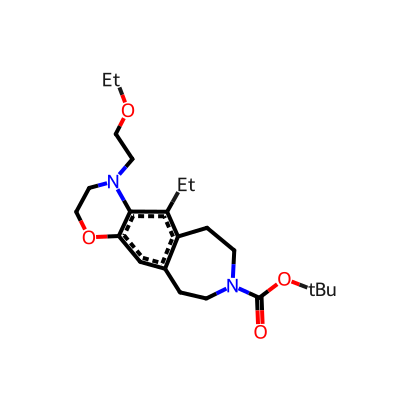 CCOCCN1CCOc2cc3c(c(CC)c21)CCN(C(=O)OC(C)(C)C)CC3